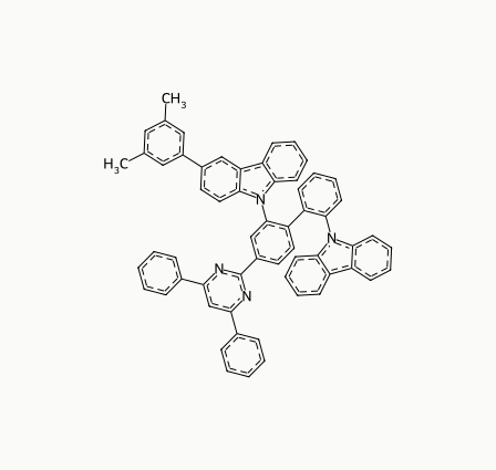 Cc1cc(C)cc(-c2ccc3c(c2)c2ccccc2n3-c2cc(-c3nc(-c4ccccc4)cc(-c4ccccc4)n3)ccc2-c2ccccc2-n2c3ccccc3c3ccccc32)c1